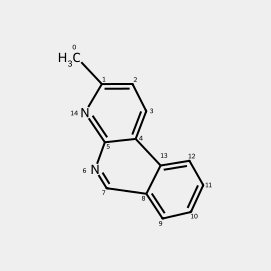 Cc1ccc2c(ncc3ccccc32)n1